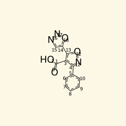 O=C(O)c1c(-c2ccccc2)noc1-c1cnno1